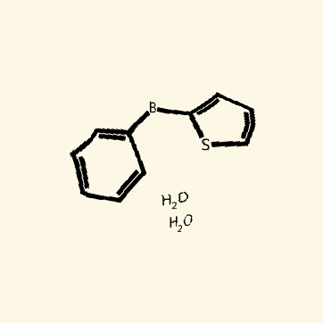 O.O.[B](c1ccccc1)c1cccs1